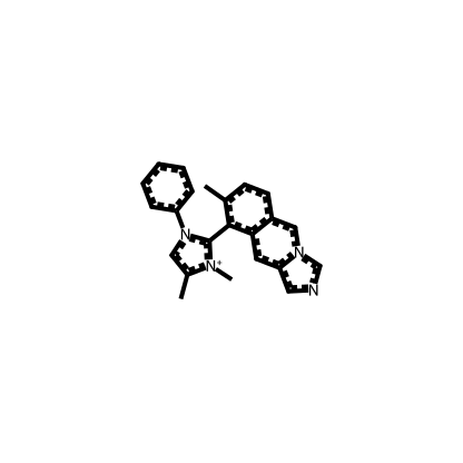 Cc1ccc2cn3cncc3cc2c1-c1n(-c2ccccc2)cc(C)[n+]1C